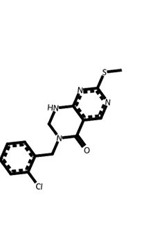 CSc1ncc2c(n1)NCN(Cc1ccccc1Cl)C2=O